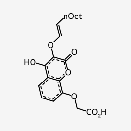 CCCCCCCCC=COc1c(O)c2cccc(OCC(=O)O)c2oc1=O